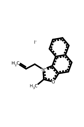 C=CC[n+]1c(C)oc2ccc3ccccc3c21.[I-]